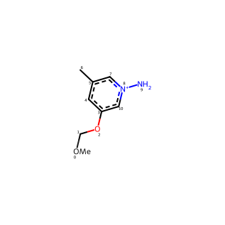 COCOc1cc(C)c[n+](N)c1